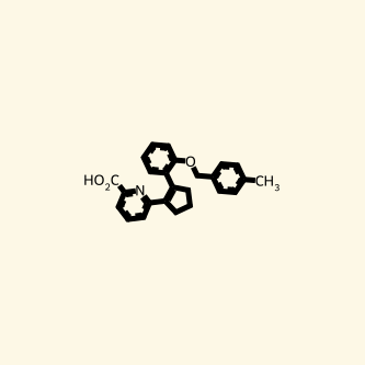 Cc1ccc(COc2ccccc2C2=C(c3cccc(C(=O)O)n3)CCC2)cc1